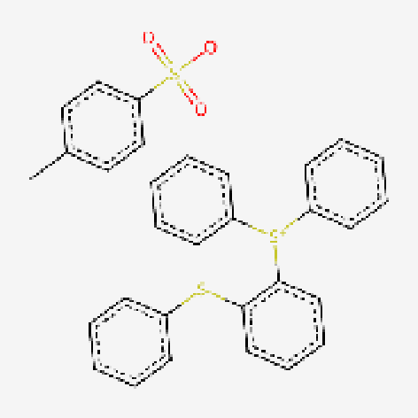 Cc1ccc(S(=O)(=O)[O-])cc1.c1ccc(Sc2ccccc2[S+](c2ccccc2)c2ccccc2)cc1